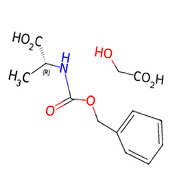 C[C@@H](NC(=O)OCc1ccccc1)C(=O)O.O=C(O)CO